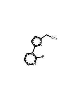 CCc1ccc(-c2cccnc2F)s1